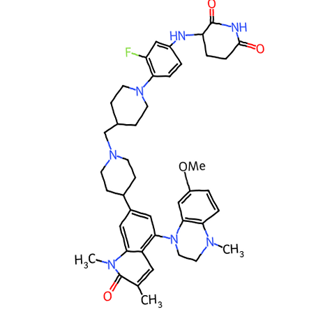 COc1ccc2c(c1)N(c1cc(C3CCN(CC4CCN(c5ccc(NC6CCC(=O)NC6=O)cc5F)CC4)CC3)cc3c1cc(C)c(=O)n3C)CCN2C